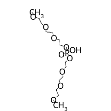 COCCOCCOCCOP(=O)(O)OCCOCCOCCOC